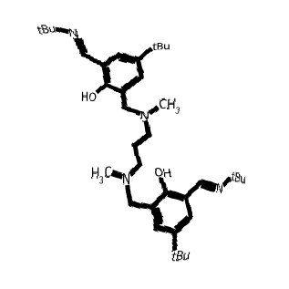 CN(CCCN(C)Cc1cc(C(C)(C)C)cc(/C=N/C(C)(C)C)c1O)Cc1cc(C(C)(C)C)cc(/C=N/C(C)(C)C)c1O